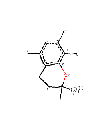 CCOC(=O)C1(C)CCc2c(C)cc(C)c(C)c2O1